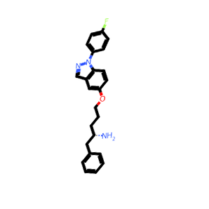 N[C@@H](CCCOc1ccc2c(cnn2-c2ccc(F)cc2)c1)Cc1ccccc1